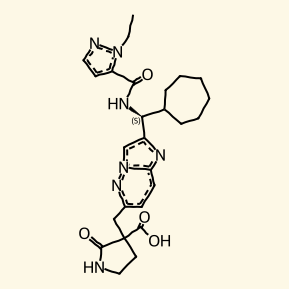 CCn1nccc1C(=O)N[C@H](c1cn2nc(CC3(C(=O)O)CCNC3=O)ccc2n1)C1CCCCCC1